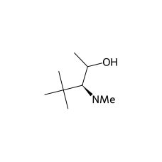 CN[C@H](C(C)O)C(C)(C)C